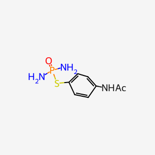 CC(=O)Nc1ccc(SP(N)(N)=O)cc1